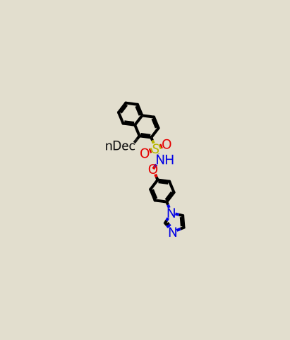 CCCCCCCCCCc1c(S(=O)(=O)NOc2ccc(-n3ccnc3)cc2)ccc2ccccc12